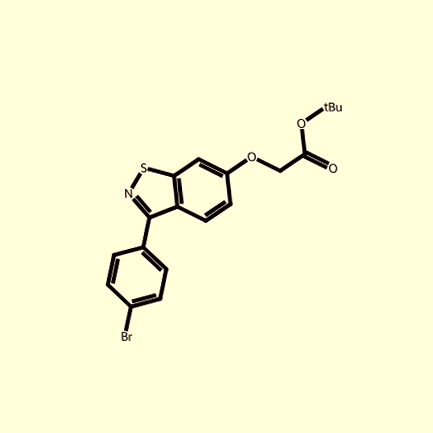 CC(C)(C)OC(=O)COc1ccc2c(-c3ccc(Br)cc3)nsc2c1